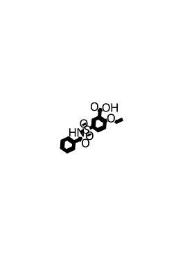 CCOc1ccc(S(=O)(=O)NC(=O)c2ccccc2)cc1C(=O)O